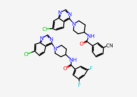 N#Cc1cccc(C(=O)NC2CCN(c3ncnc4cc(Cl)ccc34)CC2)c1.O=C(NC1CCN(c2ncnc3cc(Cl)ccc23)CC1)c1cc(F)cc(F)c1